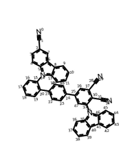 N#Cc1ccc2c(c1)c1ccccc1n2-c1ccccc1-c1ccc(-c2cc(C#N)c(C#N)c(-n3c4ccccc4c4ccccc43)c2)cc1